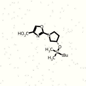 CC(C)(C)[Si](C)(C)O[C@H]1CCN(c2nc(C(=O)O)co2)C1